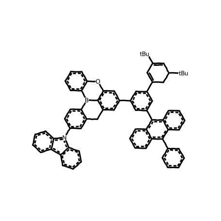 CC(C)(C)C1=CC(C(C)(C)C)CC(c2cc(-c3cc4c5c(c3)Oc3ccccc3B5c3ccc(-n5c6ccccc6c6ccccc65)cc3C4)cc(-c3c4ccccc4c(-c4ccccc4)c4ccccc34)c2)=C1